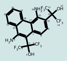 Nc1c(C(O)(C(F)(F)F)C(F)(F)F)c2ccc(C(O)(C(F)(F)F)C(F)(F)F)c(N)c2c2ccccc12